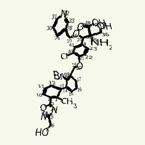 Cc1c(-c2nc(CO)no2)cccc1-c1cccc(COc2ccc(C(OCc3cccnc3)[C@](N)(CO)C(=O)O)cc2Cl)c1Br